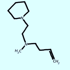 C=CCCN(C)CCN1CCCCC1